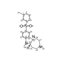 Cc1cccc(S(=O)(=O)c2ccc3c(c2)[C@H]2CCN(C)CC[C@@H]2N3C)c1